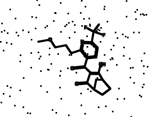 COCCCc1nc(C(C)(F)F)ccc1C(=O)C1=C(O)C2CCC(C2)C1=O